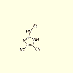 CCNc1nc(C#N)c(C#N)[nH]1